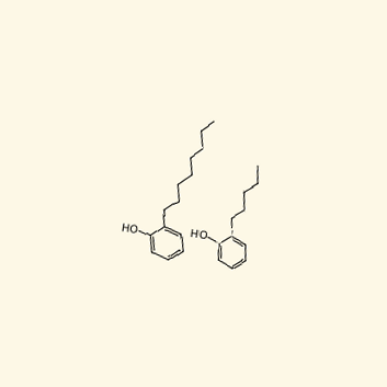 CCCCCCCCc1ccccc1O.CCCCCc1ccccc1O